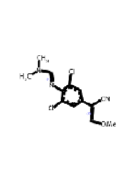 CO/C=C(\C#N)c1cc(Cl)c(/N=C/N(C)C)c(Cl)c1